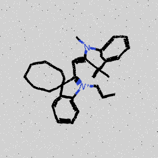 CCC[N+]1=C(C=C2N(C)c3ccccc3C2(C)C)C2(CCCCCC2)c2ccccc21